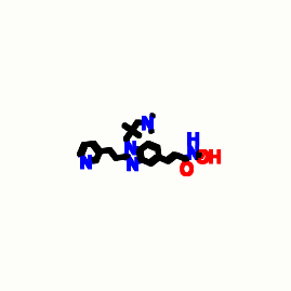 CN(C)CC(C)(C)Cn1c(CCc2cccnc2)nc2cc(/C=C/C(=O)NO)ccc21